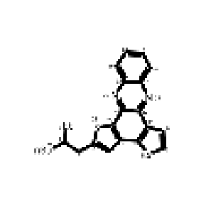 CCCCC(CC)Cc1cc2c3sccc3c3nc4ccccc4nc3c2s1